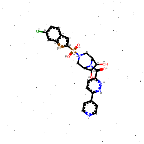 O=C(c1ccc(-c2ccncc2)nn1)N1C2CN(S(=O)(=O)c3cc4ccc(Cl)cc4s3)CC1C(O)C2O